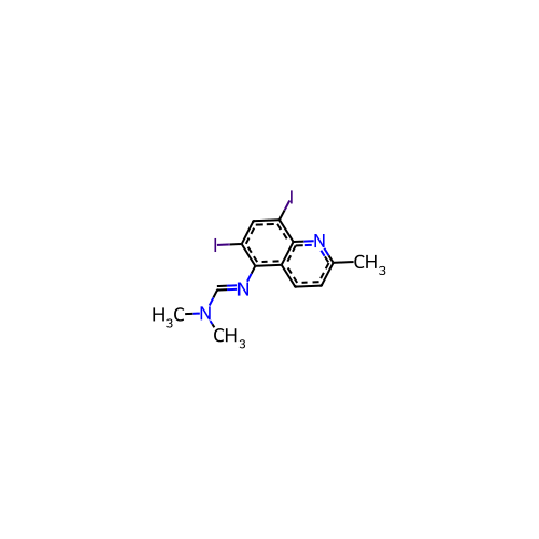 Cc1ccc2c(/N=C/N(C)C)c(I)cc(I)c2n1